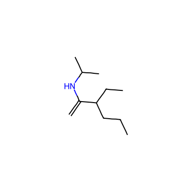 C=C(NC(C)C)C(CC)CCC